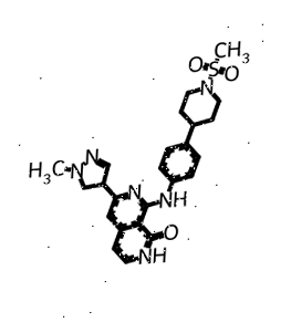 CN1CC(c2cc3cc[nH]c(=O)c3c(Nc3ccc(C4CCN(S(C)(=O)=O)CC4)cc3)n2)C=N1